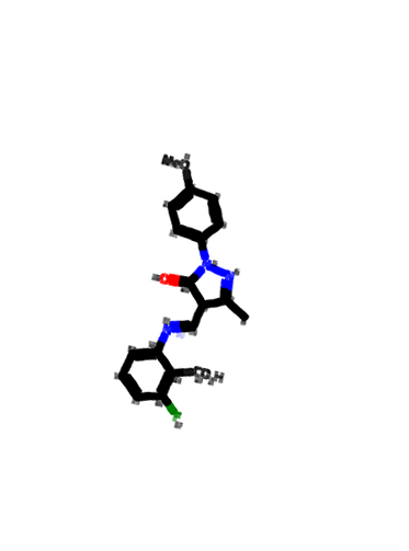 COc1ccc(N2N=C(C)C(/C=N/c3cccc(F)c3C(=O)O)C2=O)cc1